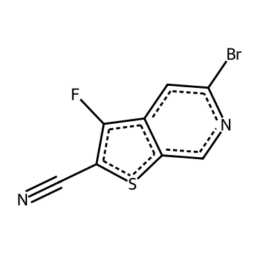 N#Cc1sc2cnc(Br)cc2c1F